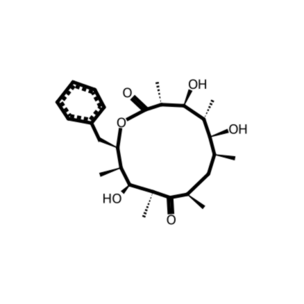 C[C@@H]1[C@@H](O)[C@@H](C)C[C@@H](C)C(=O)[C@H](C)[C@@H](O)[C@@H](C)[C@@H](Cc2ccccc2)OC(=O)[C@H](C)[C@H]1O